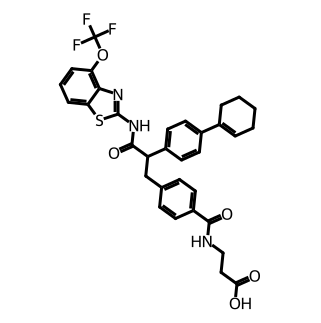 O=C(O)CCNC(=O)c1ccc(CC(C(=O)Nc2nc3c(OC(F)(F)F)cccc3s2)c2ccc(C3=CCCCC3)cc2)cc1